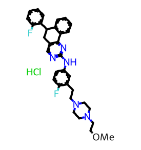 COCCN1CCN(CCc2cc(Nc3ncc4c(n3)-c3ccccc3C(c3ccccc3F)C4)ccc2F)CC1.Cl